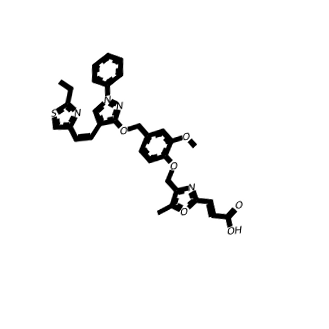 CCc1nc(/C=C\c2cn(-c3ccccc3)nc2OCc2ccc(OCc3nc(/C=C/C(=O)O)oc3C)c(OC)c2)cs1